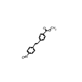 COC(=O)c1ccc(/C=C/c2ccc(N=O)cc2)cc1